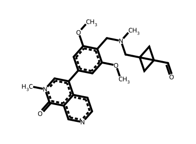 COc1cc(-c2cn(C)c(=O)c3cnccc23)cc(OC)c1CN(C)CC12CC1(C=O)C2